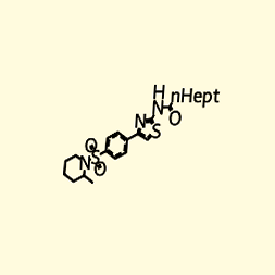 CCCCCCCC(=O)Nc1nc(-c2ccc(S(=O)(=O)N3CCCCC3C)cc2)cs1